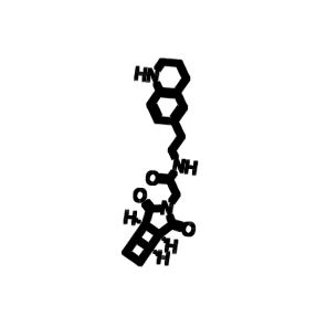 O=C(CN1C(=O)[C@@H]2[C@H](C1=O)C1CC[C@@H]12)NCCc1ccc2c(c1)CCCN2